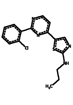 CCCNc1ncc(-c2ccnc(-c3ccccc3Cl)n2)s1